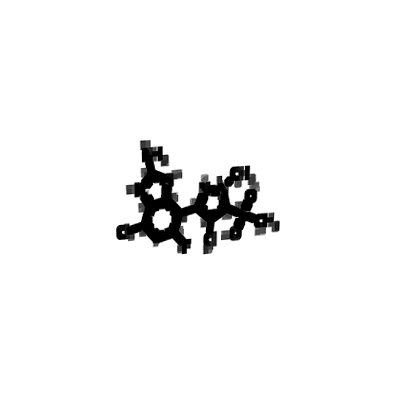 Cn1nc(-c2c(F)cc(Cl)c3nc(N)sc23)c(Cl)c1S(C)(=O)=O